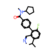 C/N=C\c1c(C(C)C)ccc(F)c1-c1ccc(C(=O)N(C)C2CCCC2)cc1